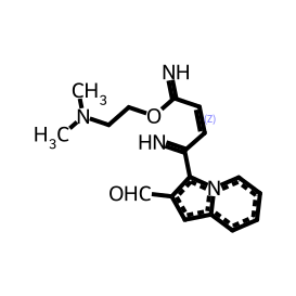 CN(C)CCOC(=N)/C=C\C(=N)c1c(C=O)cc2ccccn12